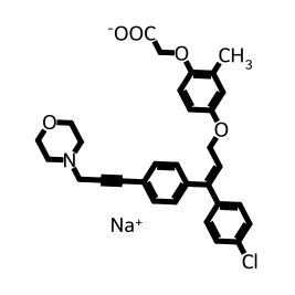 Cc1cc(OCC=C(c2ccc(Cl)cc2)c2ccc(C#CCN3CCOCC3)cc2)ccc1OCC(=O)[O-].[Na+]